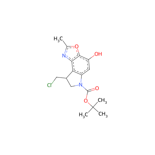 Cc1nc2c3c(cc(O)c2o1)N(C(=O)OC(C)(C)C)CC3CCl